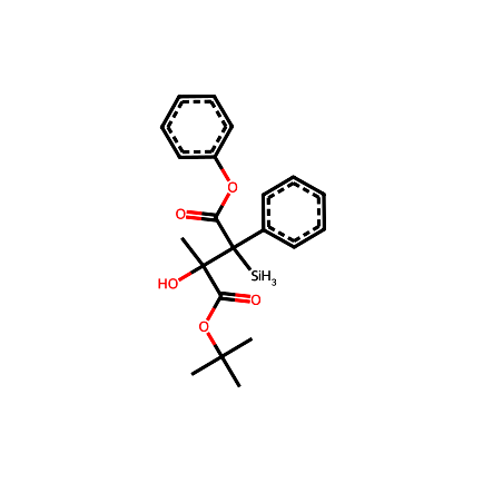 CC(C)(C)OC(=O)C(C)(O)C([SiH3])(C(=O)Oc1ccccc1)c1ccccc1